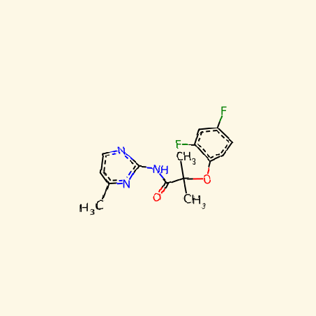 Cc1ccnc(NC(=O)C(C)(C)Oc2ccc(F)cc2F)n1